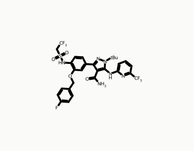 CC(C)(C)n1nc(-c2ccc(NS(=O)(=O)CC(F)(F)F)c(OCc3ccc(F)cc3)c2)c(C(N)=O)c1Nc1cccc(C(F)(F)F)n1